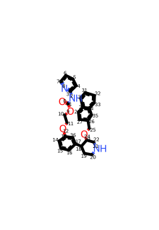 O=C(Nc1ccccn1)OCCOc1cccc(C2CCNCC2OCc2ccc3ccccc3c2)c1